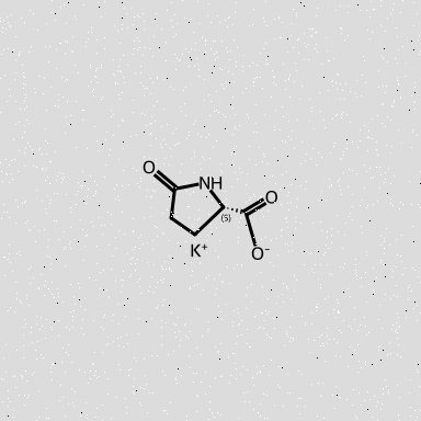 O=C1CC[C@@H](C(=O)[O-])N1.[K+]